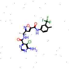 Cc1ccc(NC(=O)c2cc([C@@H](C)NC(=O)c3ncnc(N)c3Cl)no2)cc1C(F)(F)F